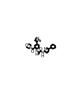 CC(Nc1ccc(-c2ccnn2C)cc1C(=O)N1CCOCC1)C(=O)Nc1ccc(-c2ccccc2)cn1